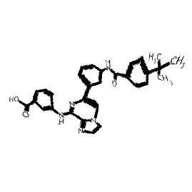 CC(C)(C)c1ccc(C(=O)Nc2cccc(-c3cn4ccnc4c(Nc4cccc(C(=O)O)c4)n3)c2)cc1